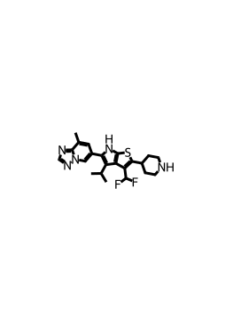 Cc1cc(-c2[nH]c3sc(C4CCNCC4)c(C(F)F)c3c2C(C)C)cn2ncnc12